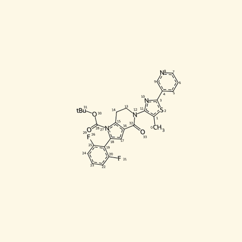 Cc1sc(-c2cccnc2)nc1N1CCc2c(cc(-c3c(F)cccc3F)n2C(=O)OC(C)(C)C)C1=O